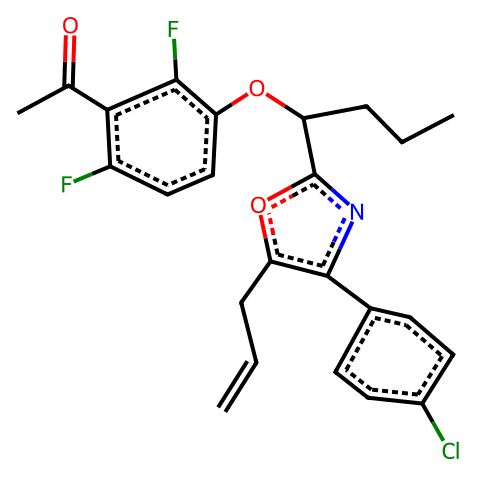 C=CCc1oc(C(CCC)Oc2ccc(F)c(C(C)=O)c2F)nc1-c1ccc(Cl)cc1